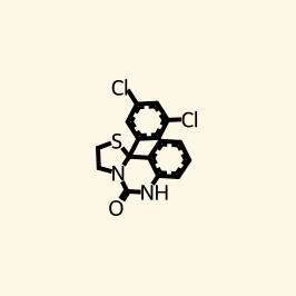 O=C1Nc2ccccc2C2(c3cc(Cl)cc(Cl)c3)SCCN12